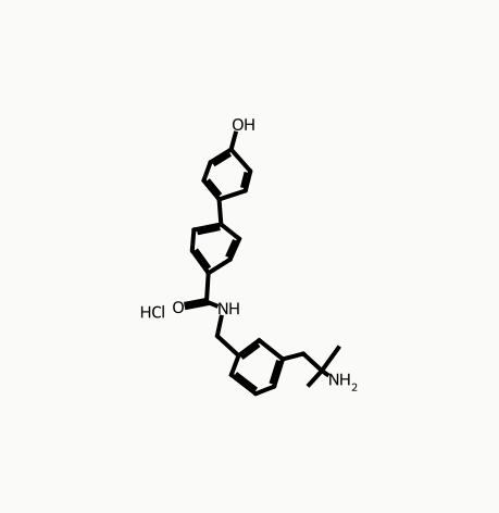 CC(C)(N)Cc1cccc(CNC(=O)c2ccc(-c3ccc(O)cc3)cc2)c1.Cl